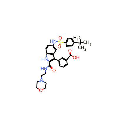 CC(C)(C)c1ccc(S(=O)(=O)Nc2ccc3[nH]c(C(=O)NCCN4CCOCC4)c(-c4cccc(C(=O)O)c4)c3c2)cc1